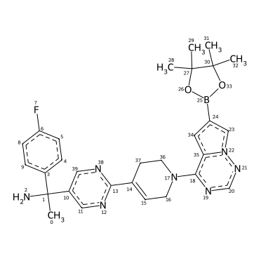 CC(N)(c1ccc(F)cc1)c1cnc(C2=CCN(c3ncnn4cc(B5OC(C)(C)C(C)(C)O5)cc34)CC2)nc1